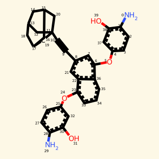 Nc1ccc(Oc2cc(C#CC34CC5CC(CC(C5)C3)C4)cc3c(Oc4ccc(N)c(O)c4)cccc23)cc1O